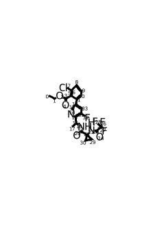 CCOC(=O)c1c(Cl)cccc1-c1cnc(C(C)NC(=O)C2(NC(=O)C(F)(F)F)CC2)c(F)c1